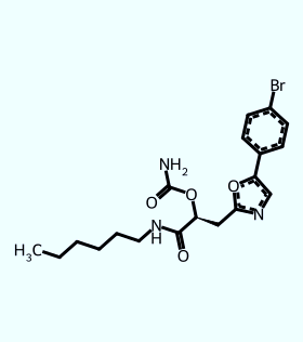 CCCCCCNC(=O)[C@H](Cc1ncc(-c2ccc(Br)cc2)o1)OC(N)=O